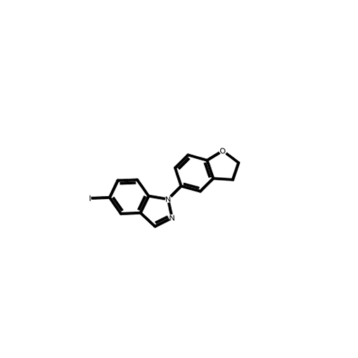 Ic1ccc2c(cnn2-c2ccc3c(c2)CCO3)c1